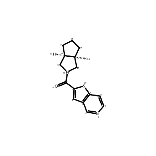 O=C(c1cc2cnccc2s1)N1C[C@H]2CCC[C@H]2C1